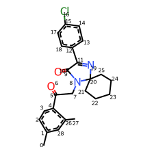 Cc1ccc(C(=O)CN2C(=O)C(c3ccc(Cl)cc3)=NC23CCCCC3)c(C)c1